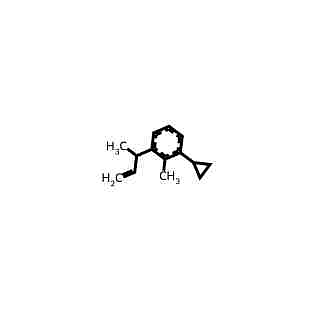 C=C[C](C)c1cccc(C2CC2)c1C